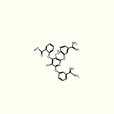 COC(=O)c1ccccc1Oc1c(F)c(Oc2cccc(C(=N)N)c2)nc(Oc2cc(C(=N)N)ccc2O)c1F